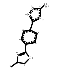 CC1COC(c2ccc(-c3noc(C(F)(F)F)n3)cc2)=N1